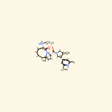 COc1cc([C@@H]2CN(C(=O)[C@@H]3CC[C@@H]4CCCC[C@H](NC(=O)O)C(=O)N43)C[C@H]2C#N)cc(C)n1